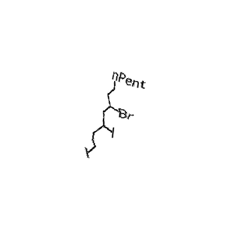 CCCCCCCC(Br)CC(I)CCI